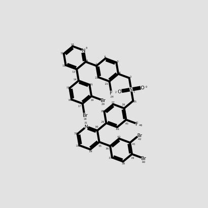 O=S(=O)(Cc1ccc(-c2ncccc2-c2ccc(Br)c(Br)c2)cc1F)Cc1ccc(-c2ncccc2-c2ccc(Br)c(Br)c2)cc1F